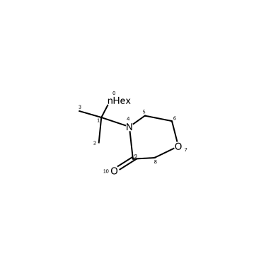 CCCCCCC(C)(C)N1CCOCC1=O